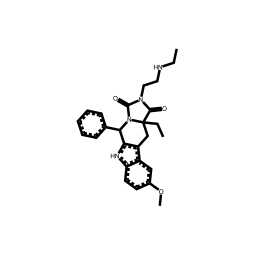 CCNCCN1C(=O)N2C(c3ccccc3)c3[nH]c4ccc(OC)cc4c3CC2(CC)C1=O